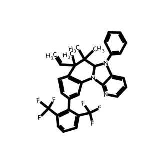 C=CC1(C)c2ccc(-c3c(C(F)(F)F)cccc3C(F)(F)F)cc2N2c3ncccc3N(c3ccccc3)C2C1(C)C